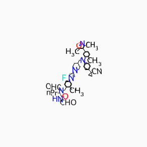 CCCC(C(=O)NC=O)N(C=O)Cc1cc(F)c(N2CC(N3CCC(CN(c4ccc(C5(C#N)CC5)cc4)c4cc(-c5c(C)noc5C)ccc4C)CC3)C2)cc1C